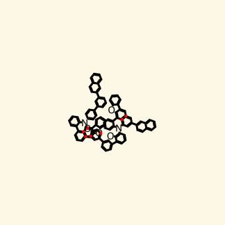 c1cc(-c2ccc(N(c3ccccc3-c3cccc4c3oc3ccc(-c5cccc6c5oc5c(N(c7cccc(-c8ccc9ccccc9c8)c7)c7ccccc7-c7cccc8c7oc7ccccc78)cccc56)cc34)c3cccc4oc5ccccc5c34)cc2)cc(-c2ccc3ccccc3c2)c1